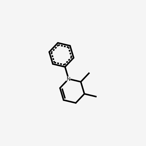 CC1CC=CN(c2ccccc2)C1C